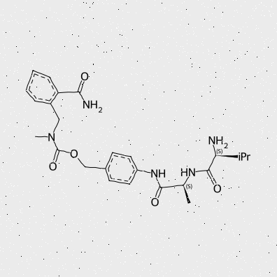 CC(C)[C@H](N)C(=O)N[C@@H](C)C(=O)Nc1ccc(COC(=O)N(C)Cc2ccccc2C(N)=O)cc1